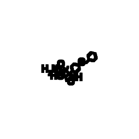 CC(N(O)C(N)=O)C1(c2ccc(OCc3ccccc3)cc2)CCON1